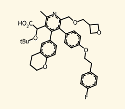 Cc1nc(COCC2COC2)c(-c2ccc(OCCc3ccc(F)cc3)cc2)c(-c2ccc3c(c2)CCCO3)c1C(OC(C)(C)C)C(=O)O